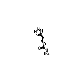 CC(C)(C)NC(=O)OCCc1nnn[nH]1